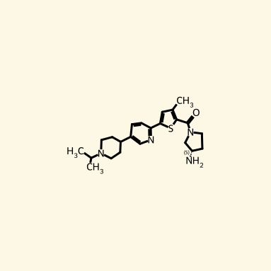 Cc1cc(-c2ccc(C3CCN(C(C)C)CC3)cn2)sc1C(=O)N1CC[C@H](N)C1